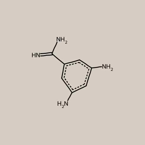 N=C(N)c1cc(N)cc(N)c1